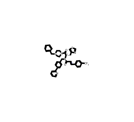 O=C([C@H](Cc1cscn1)N(Cc1ccc(-c2ccccn2)cc1)C(=O)/C=C/c1ccc(C(F)(F)F)cc1)N1CCN(Cc2ccccc2)CC1